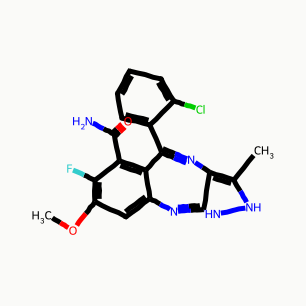 COc1cc2c(c(C(N)=O)c1F)C(c1ccccc1Cl)=NC1=C(C)NNC1=N2